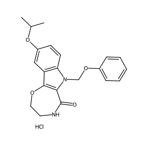 CC(C)Oc1ccc2c(c1)c1c(n2COc2ccccc2)C(=O)NCCO1.Cl